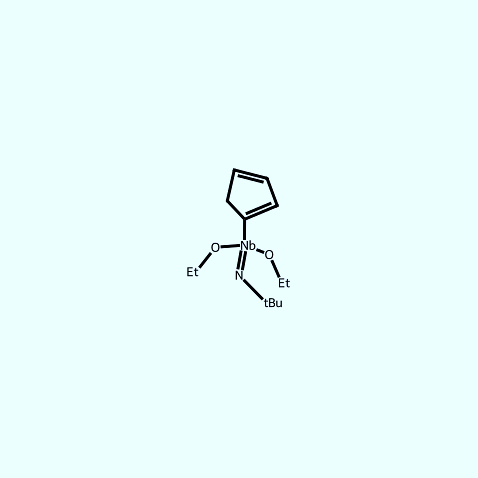 CC[O][Nb](=[N]C(C)(C)C)([O]CC)[C]1=CC=CC1